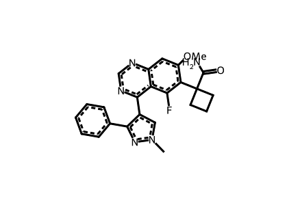 COc1cc2ncnc(-c3cn(C)nc3-c3ccccc3)c2c(F)c1C1(C(N)=O)CCC1